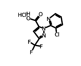 Cl.O=C(O)c1cc(C(F)(F)F)nn1-c1ncccc1Cl